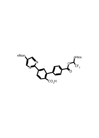 CCCCCCCCCc1cnc(-c2ccc(C(=O)O)c(-c3ccc(C(=O)OC(CCCCCC)C(F)(F)F)cc3)c2)nc1